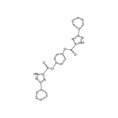 O=C(Oc1ccc(OC(=O)c2nc(-c3ccccc3)n[nH]2)cc1)c1nc(-c2ccccc2)n[nH]1